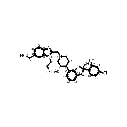 CC(=O)NCCn1c(CN2CCC(c3cccc4c3OC(C)(c3ccc(Cl)cc3F)O4)CC2)nc2ccc(CO)cc21